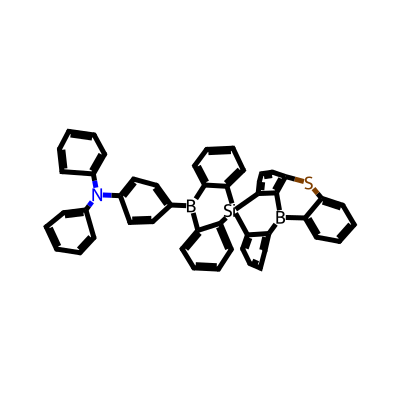 c1ccc(N(c2ccccc2)c2ccc(B3c4ccccc4[Si]4(c5ccccc53)c3ccccc3B3c5ccccc5Sc5cccc4c53)cc2)cc1